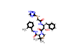 Cc1ccccc1CNC(=O)[C@H]1N(C(=O)[C@@H](O)[C@H](Cc2ccccc2)NC(=O)CSc2nc[nH]n2)CSC1(C)C